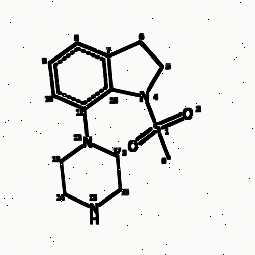 CS(=O)(=O)N1CCc2cccc(N3CCNCC3)c21